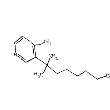 CCCCCCC(C)(C)c1cnccc1C